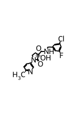 Cc1ccc(N2CC[C@@](O)(C(=O)NCc3cc(F)cc(Cl)c3)C2=O)cn1